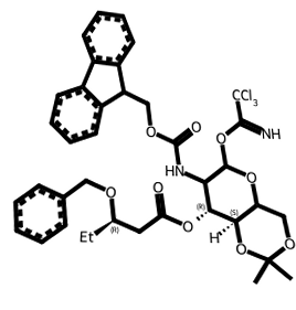 CC[C@H](CC(=O)O[C@@H]1C(NC(=O)OCC2c3ccccc3-c3ccccc32)C(OC(=N)C(Cl)(Cl)Cl)OC2COC(C)(C)O[C@H]21)OCc1ccccc1